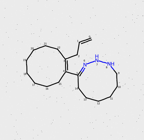 C=CCC1=C(C2=NNNCCCCCC2)CCCCCCCC1